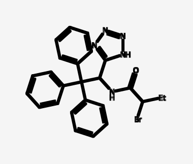 CCC(Br)C(=O)NC(c1nnn[nH]1)C(c1ccccc1)(c1ccccc1)c1ccccc1